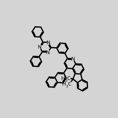 CC1(C)c2ccccc2-c2ccc3nc(-c4cccc(-c5nc(C6=CCCC=C6)nc(-c6ccccc6)n5)c4)cc(-c4ccc5ccccc5c4)c3c21